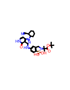 CC(C)(C)OC(=O)C(C)(C)N1Cc2cc(Nc3nn(C4CCCCC4C#N)c4cc[nH]c(=O)c34)ccc2S1(O)O